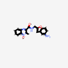 Cc1c(C(=O)NCc2cc3cc(N)ccc3o2)nc2ccccc2[n+]1[O-]